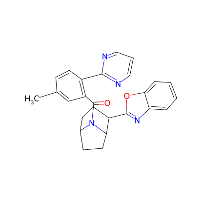 Cc1ccc(-c2ncccn2)c(C(=O)N2C3CCC(c4nc5ccccc5o4)C2CC3)c1